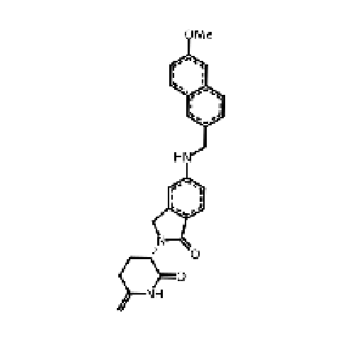 C=C1CC[C@H](N2Cc3cc(NCc4ccc5cc(OC)ccc5c4)ccc3C2=O)C(=O)N1